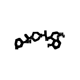 C=C(/N=C(\C=C/N)c1c(F)cccc1F)N1CCN(C(=C)Nc2cccnc2)CC1